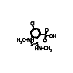 CNSSNC.O=S(=O)(O)c1cccc(Cl)c1